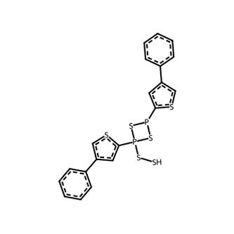 SS[P]1(c2cc(-c3ccccc3)cs2)SP(c2cc(-c3ccccc3)cs2)S1